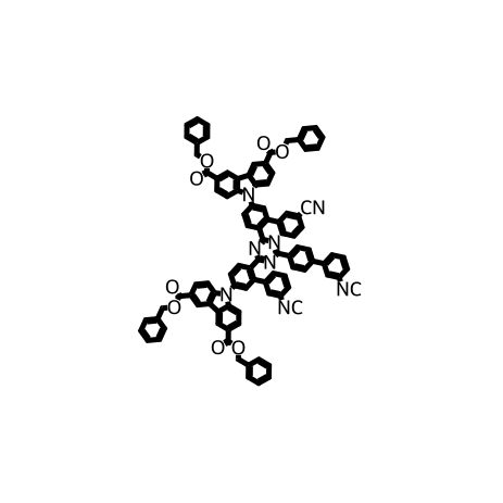 [C-]#[N+]c1cccc(-c2ccc(-c3nc(-c4ccc(-n5c6ccc(C(=O)OCc7ccccc7)cc6c6cc(C(=O)OCc7ccccc7)ccc65)cc4-c4cccc(C#N)c4)nc(-c4ccc(-n5c6ccc(C(=O)OCc7ccccc7)cc6c6cc(C(=O)OCc7ccccc7)ccc65)cc4-c4cccc([N+]#[C-])c4)n3)cc2)c1